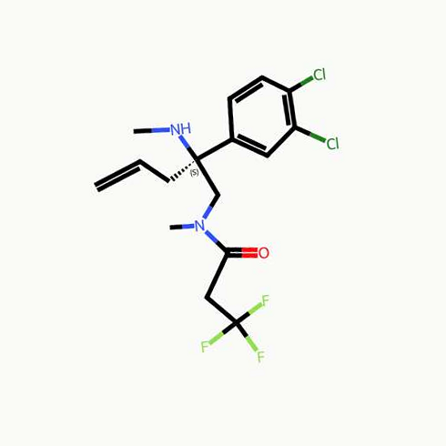 C=CC[C@](CN(C)C(=O)CC(F)(F)F)(NC)c1ccc(Cl)c(Cl)c1